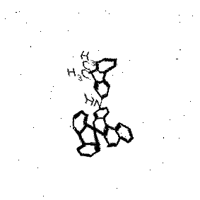 CC1(C)c2ccccc2-c2ccc(Nc3ccc4c(c3)C3(c5ccccc5-c5ccccc53)c3ccc5ccccc5c3-4)cc21